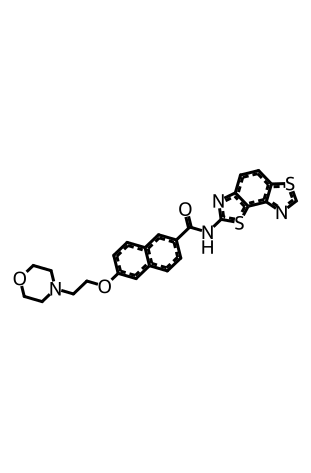 O=C(Nc1nc2ccc3scnc3c2s1)c1ccc2cc(OCCN3CCOCC3)ccc2c1